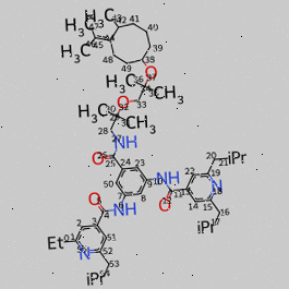 CCc1cc(C(=O)Nc2cc(NC(=O)c3cc(CC(C)C)nc(CC(C)C)c3)cc(C(=O)NCC(C)(C)OCC(C)(C)OC3CCCC(C)C(=C(C)C)CC3)c2)cc(CC(C)C)n1